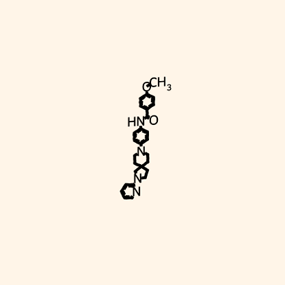 COc1ccc(C(=O)Nc2ccc(N3CCC4(CC3)CCN(c3ccccn3)C4)cc2)cc1